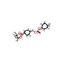 C=C(OCc1ccc(B2OC(C)(C)C(C)(C)O2)cc1)Oc1ccc(C)cc1